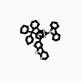 c1ccc(C(c2ccccc2)(c2ccccc2)c2ccccc2-c2nc(-c3ccc4oc5ncccc5c4c3)nc(-n3c4ccccc4c4ccccc43)n2)cc1